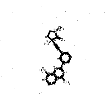 Cc1nc(-c2cccc(C#C[C@]3(O)CCN(C)C3=O)c2)nc2c(N)nccc12